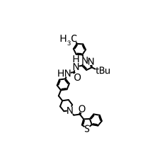 Cc1ccc(-n2nc(C(C)(C)C)cc2NC(=O)Nc2ccc(CC3CCN(CC(=O)c4csc5ccccc45)CC3)cc2)cc1